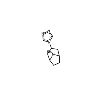 CC(C)(C)N1C2CCC1CC(n1cnnc1)C2